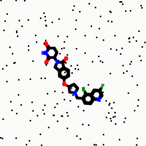 O=C1CCC(N2Cc3cc(O[C@H]4CCN(Cc5ccc6ncc(F)cc6c5F)C4)ccc3C2=O)C(=O)N1